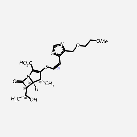 COCCOCc1ncsc1/C=C\SC1=C(C(=O)O)N2C(=O)[C@H]([C@@H](C)O)[C@@H]2[C@H]1C